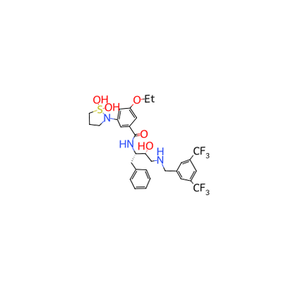 CCOc1cc(C(=O)N[C@@H](Cc2ccccc2)[C@H](O)CNCc2cc(C(F)(F)F)cc(C(F)(F)F)c2)cc(N2CCCS2(O)O)c1